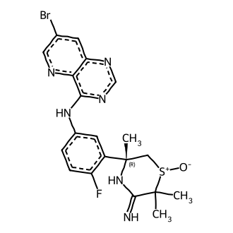 CC1(C)C(=N)N[C@](C)(c2cc(Nc3ncnc4cc(Br)cnc34)ccc2F)C[S+]1[O-]